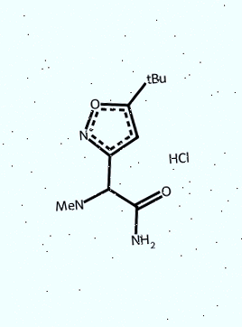 CNC(C(N)=O)c1cc(C(C)(C)C)on1.Cl